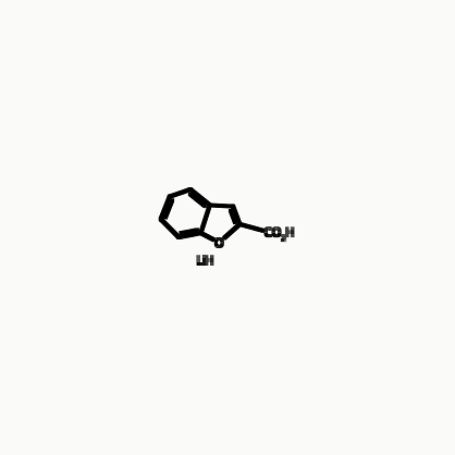 O=C(O)c1cc2ccccc2o1.[LiH]